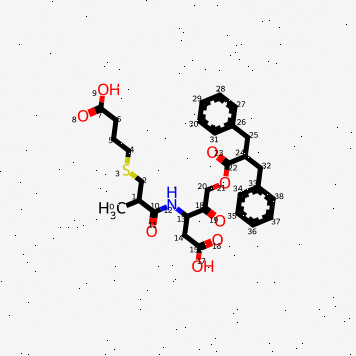 CC(CSCCCC(=O)O)C(=O)NC(CC(=O)O)C(=O)COC(=O)C(Cc1ccccc1)Cc1ccccc1